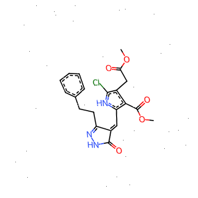 COC(=O)Cc1c(Cl)[nH]c(/C=C2/C(=O)NN=C2CCc2ccccc2)c1C(=O)OC